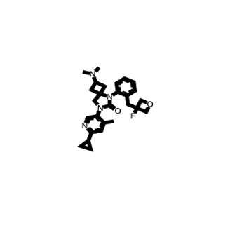 Cc1cc(C2CC2)ncc1N1CC2(CC(N(C)C)C2)N(c2ccccc2CC2(F)COC2)C1=O